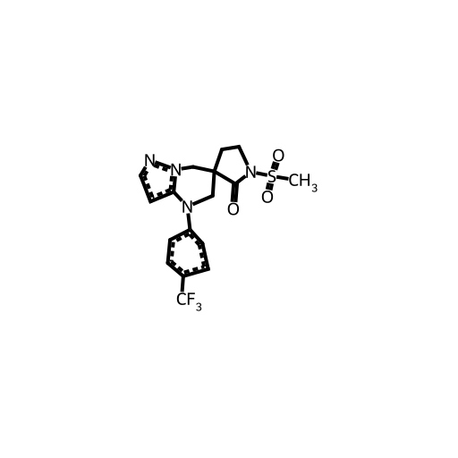 CS(=O)(=O)N1CCC2(CN(c3ccc(C(F)(F)F)cc3)c3ccnn3C2)C1=O